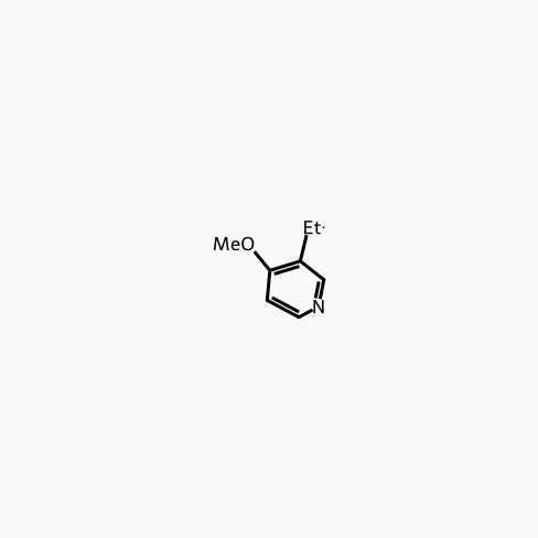 C[CH]c1cnccc1OC